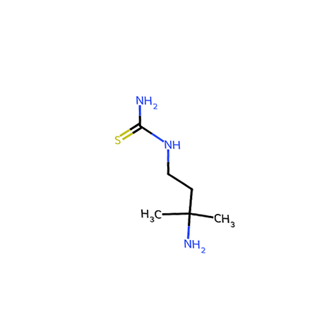 CC(C)(N)CCNC(N)=S